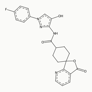 O=C1OC2(CCC(C(=O)Nc3nn(-c4ccc(F)cc4)cc3O)CC2)c2ncccc21